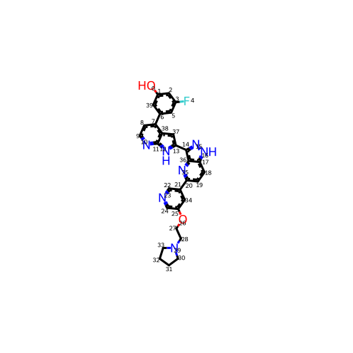 Oc1cc(F)cc(-c2ccnc3[nH]c(-c4n[nH]c5ccc(-c6cncc(OCCN7CCCC7)c6)nc45)cc23)c1